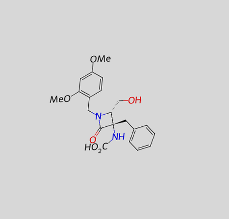 COc1ccc(CN2C(=O)[C@@](Cc3ccccc3)(NC(=O)O)[C@H]2CO)c(OC)c1